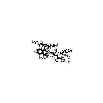 C=C(C)C(=O)C(O)C(OCCO)C(=O)C(=C)C.O=C(O)c1ccccc1C(=O)O.OCCOCCO